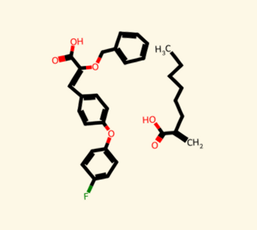 C=C(CCCCCC)C(=O)O.O=C(O)C(=Cc1ccc(Oc2ccc(F)cc2)cc1)OCc1ccccc1